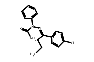 CCC/C(=N\N(C(N)=S)c1ccccc1)c1ccc(Cl)cc1